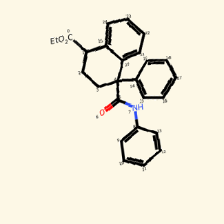 CCOC(=O)C1CCC(C(=O)Nc2ccccc2)(c2ccccc2)c2ccccc21